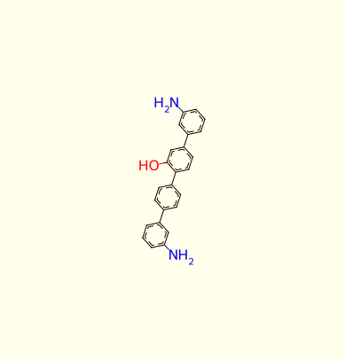 Nc1cccc(-c2ccc(-c3ccc(-c4cccc(N)c4)cc3O)cc2)c1